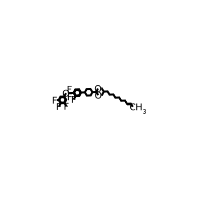 C/C=C/CCCCCCCC1COC(C2CCC(c3ccc(C(F)(F)Oc4cc(F)c(F)c(F)c4)c(F)c3)CC2)OC1